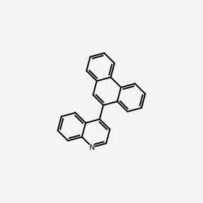 c1ccc2c(c1)cc(-c1ccnc3ccccc13)c1ccccc12